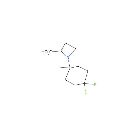 CC1(N2CCC2C(=O)O)CCC(F)(F)CC1